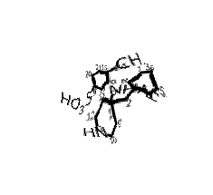 CC(=O)NC1(Cc2ccccc2)CCNCC1.Cc1ccc(S(=O)(=O)O)cc1